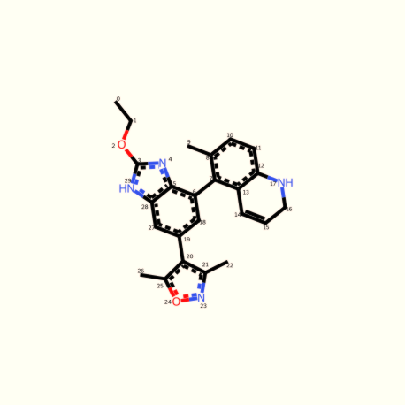 CCOc1nc2c(-c3c(C)ccc4c3C=CCN4)cc(-c3c(C)noc3C)cc2[nH]1